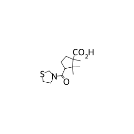 CC1(C(=O)O)CCC(C(=O)N2CCSC2)C1(C)C